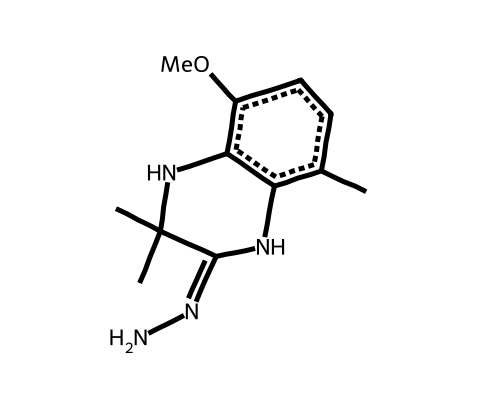 COc1ccc(C)c2c1NC(C)(C)C(=NN)N2